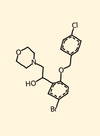 OC(CN1CCOCC1)c1cc(Br)ccc1OCc1ccc(Cl)cc1